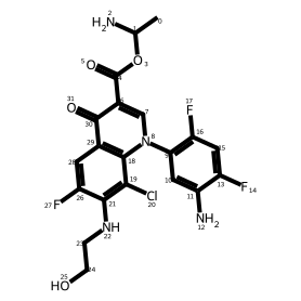 CC(N)OC(=O)c1cn(-c2cc(N)c(F)cc2F)c2c(Cl)c(NCCO)c(F)cc2c1=O